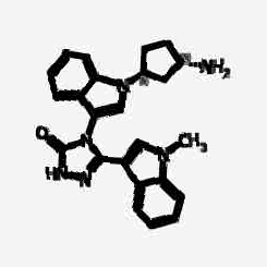 Cn1cc(-c2n[nH]c(=O)n2-c2cn([C@H]3CC[C@H](N)C3)c3ccccc23)c2ccccc21